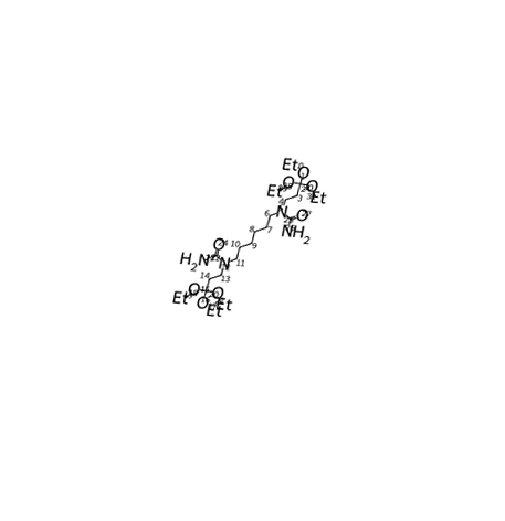 CCOC(CCN(CCCCCCN(CCC(OCC)(OCC)OCC)C(N)=O)C(N)=O)(OCC)OCC